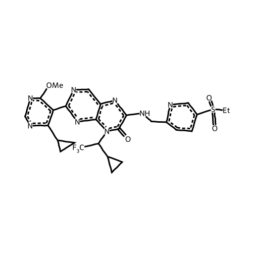 CCS(=O)(=O)c1ccc(CNc2nc3cnc(-c4c(OC)ncnc4C4CC4)nc3n(C(C3CC3)C(F)(F)F)c2=O)nc1